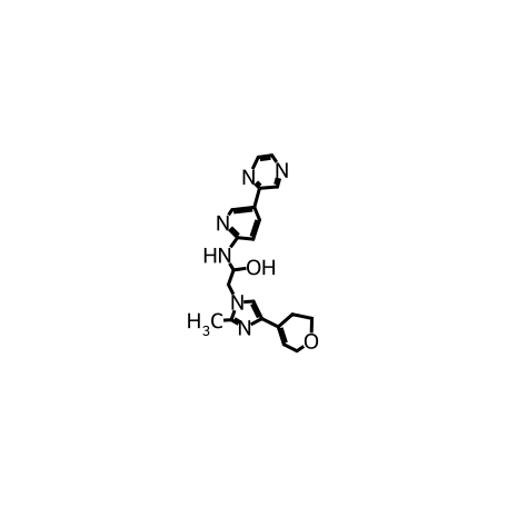 Cc1nc(C2=CCOCC2)cn1CC(O)Nc1ccc(-c2cnccn2)cn1